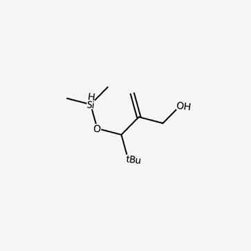 C=C(CO)C(O[SiH](C)C)C(C)(C)C